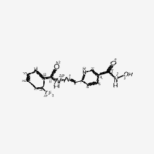 O=C(NO)c1ccc(C=NNC(=O)c2ccccc2C(F)(F)F)nc1